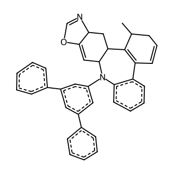 CC1CC=CC2=C1C1CC3N=COC3=CC1N(c1cc(-c3ccccc3)cc(-c3ccccc3)c1)c1ccccc12